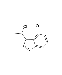 CC(Cl)C1C=Cc2ccccc21.[Zr]